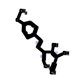 C#C\C(O)=C(O)/C(=C\C)/C=C/c1ccc(OC)cc1